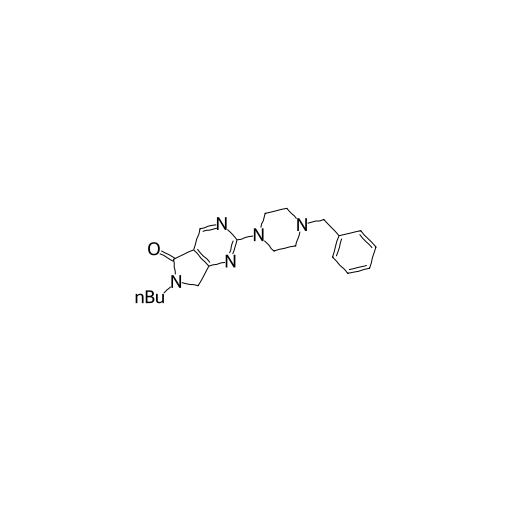 CCCCN1Cc2nc(N3CCN(Cc4ccccc4)CC3)ncc2C1=O